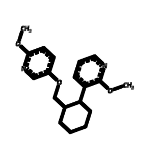 COc1ccc(OCC2CCCCC2c2cccnc2OC)cn1